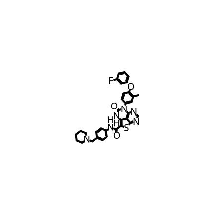 Cc1cc(N2C(=O)Nc3c(C(=O)Nc4ccc(CN5CCCCC5)cc4)sc4ncnc2c34)ccc1Oc1cccc(F)c1